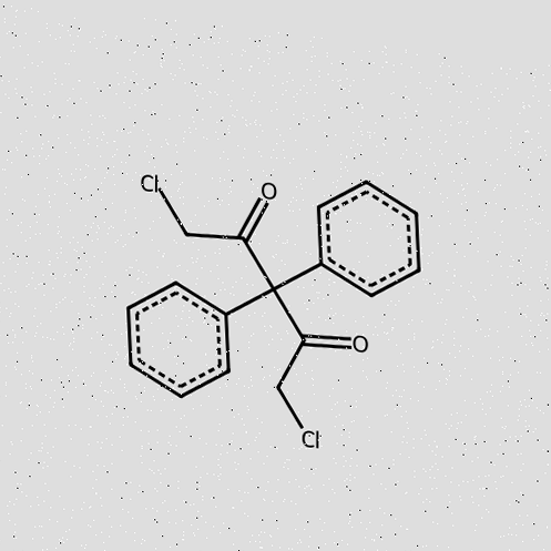 O=C(CCl)C(C(=O)CCl)(c1ccccc1)c1ccccc1